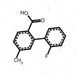 Cc1ccc(C(=O)O)c(-c2ccccc2F)c1